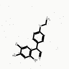 CCOc1ccc(C(C=O)c2cc(Cl)c(O)cc2O)cc1